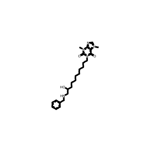 Cn1cnc2c1c(=O)n(CCCCCCCCCC(O)CNCc1ccccc1)c(=O)n2C